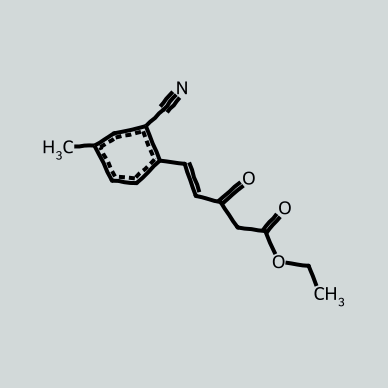 CCOC(=O)CC(=O)C=Cc1ccc(C)cc1C#N